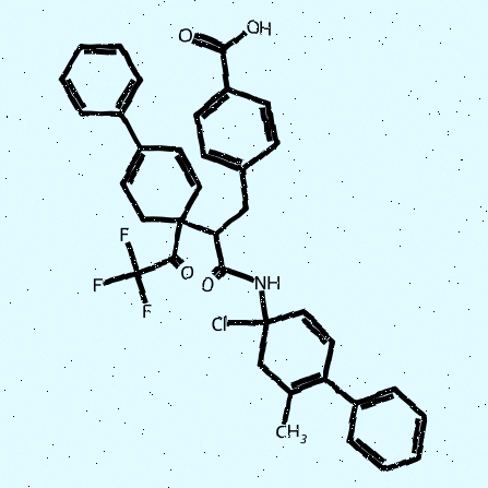 CC1=C(c2ccccc2)C=CC(Cl)(NC(=O)C(Cc2ccc(C(=O)O)cc2)C2(C(=O)C(F)(F)F)C=CC(c3ccccc3)=CC2)C1